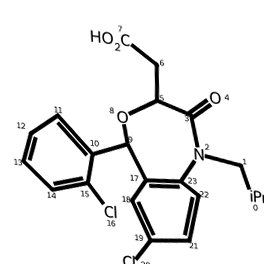 CC(C)CN1C(=O)C(CC(=O)O)OC(c2ccccc2Cl)c2cc(Cl)ccc21